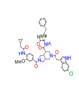 CNC(=O)[C@H](CCCc1ccccc1)NC(=O)C1CN(C(=O)Cc2c[nH]c3cc(Cl)ccc23)CC2CN(C(=O)c3ccc(NC(=O)CC4CC4)c(OC)c3)CC21